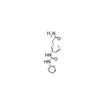 C/C=C\C(=C/CCC(N)=O)NC(=O)Nc1ccccc1